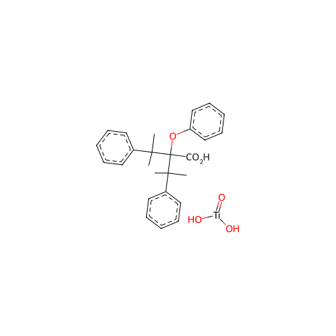 CC(C)(c1ccccc1)C(Oc1ccccc1)(C(=O)O)C(C)(C)c1ccccc1.[O]=[Ti]([OH])[OH]